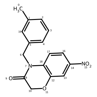 Cc1cccc(CN2C(=O)COc3cc([N+](=O)[O-])ccc32)c1